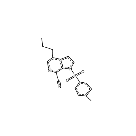 CCCc1cnc(C#N)c2c1ccn2S(=O)(=O)c1ccc(C)cc1